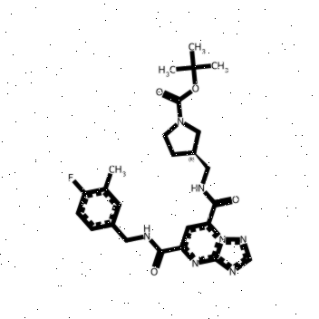 Cc1cc(CNC(=O)c2cc(C(=O)NC[C@H]3CCN(C(=O)OC(C)(C)C)C3)n3ncnc3n2)ccc1F